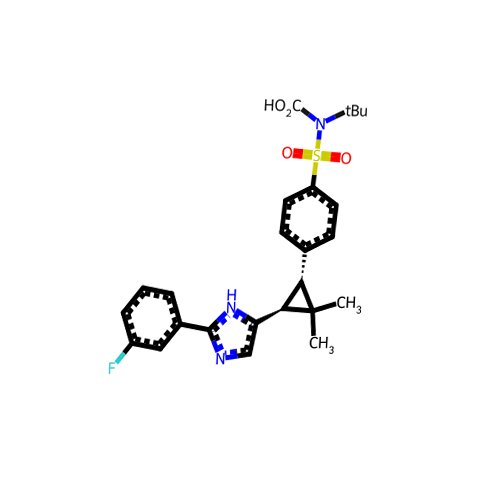 CC1(C)[C@@H](c2ccc(S(=O)(=O)N(C(=O)O)C(C)(C)C)cc2)[C@@H]1c1cnc(-c2cccc(F)c2)[nH]1